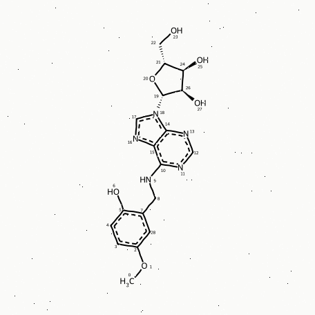 COc1ccc(O)c(CNc2ncnc3c2ncn3[C@@H]2O[C@H](CO)[C@@H](O)[C@H]2O)c1